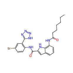 CCCCCCC(=O)Nc1cccc2cc(C(=O)Nc3ccc(Br)cc3-c3nnn[nH]3)[nH]c12